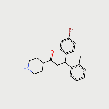 Cc1ccccc1C(CC(=O)C1CCNCC1)c1ccc(Br)cc1